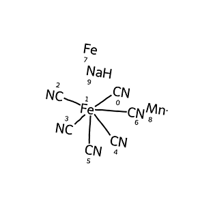 N#[C][Fe]([C]#N)([C]#N)([C]#N)([C]#N)[C]#N.[Fe].[Mn].[NaH]